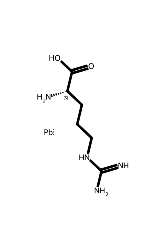 N=C(N)NCCC[C@H](N)C(=O)O.[Pb]